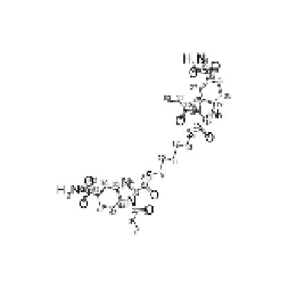 CCC(=O)n1c(C(=O)SCCCCCSC(=O)c2nc3ccc(S(N)(=O)=O)cc3n2C(=O)CC)nc2cc(S(N)(=O)=O)ccc21